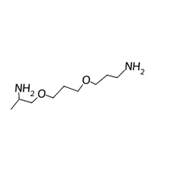 CC(N)COCCCOCCCN